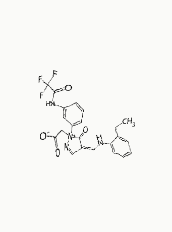 CCc1ccccc1NC=C1C=N[N+](CC(=O)[O-])(c2cccc(NC(=O)C(F)(F)F)c2)C1=O